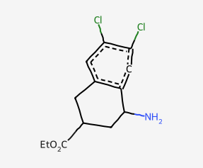 CCOC(=O)C1Cc2cc(Cl)c(Cl)cc2C(N)C1